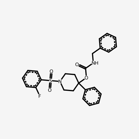 O=C(NCc1ccccc1)OC1(c2ccccc2)CCN(S(=O)(=O)c2ccccc2F)CC1